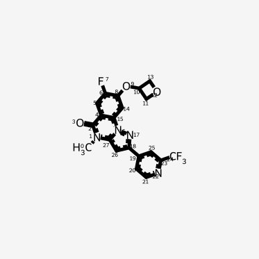 Cn1c(=O)c2cc(F)c(OC3COC3)cc2n2nc(-c3ccnc(C(F)(F)F)c3)cc12